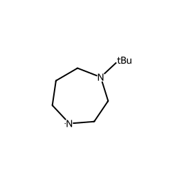 CC(C)(C)N1CCC[N]CC1